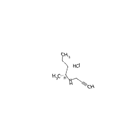 C#CCN[C@H](C)CCC.Cl